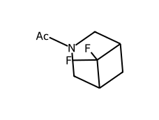 CC(=O)N1CC2CC(C1)C2(F)F